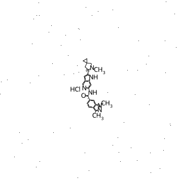 Cc1nn(C)c2cc(C(=O)Nc3cc4[nH]c([C@H]5CC6(CC6)CN5C)cc4cn3)ccc12.Cl